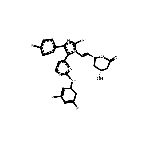 CC(C)c1nc(-c2ccc(F)cc2)c(-c2ccnc(NC3C=C(F)C=C(F)C3)n2)n1/C=C/[C@@H]1C[C@@H](O)CC(=O)O1